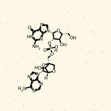 Nc1nc2c(ncn2[C@@H]2O[C@H](CO)C(O)[C@@H]2OP(=O)(O)OC[C@]23CO[C@@H](C2O)[C@H](n2cnc4c(N)ncnc42)O3)c(=O)[nH]1